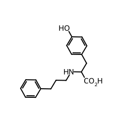 O=C(O)C(Cc1ccc(O)cc1)NCCCc1ccccc1